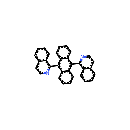 c1ccc2c(-c3c4ccccc4c(-c4nccc5ccccc45)c4ccccc34)nccc2c1